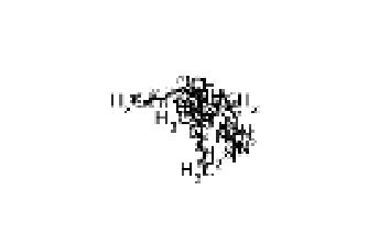 CCCCCOC(=O)[C@@H](C)N[P@](=O)(CO[C@H](C)Cn1cnc2c(N)ncnc21)NC(C)(C)C(=O)OCCCCC